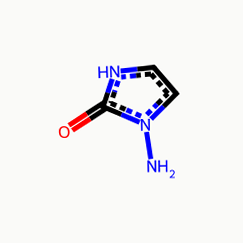 Nn1cc[nH]c1=O